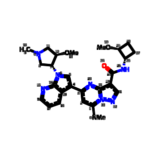 CNc1cc(-c2cn([C@@H]3CN(C)C[C@H]3OC)c3ncccc23)nc2c(C(=O)N[C@H]3CC[C@@H]3OC)cnn12